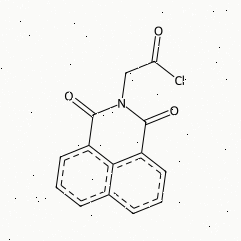 O=C(Cl)CN1C(=O)c2cccc3cccc(c23)C1=O